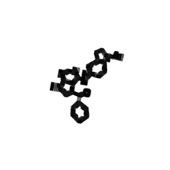 CC(=O)N1CCc2cc(Nc3ncnc4[nH]cc(C(=O)c5ccccc5)c34)ccc21